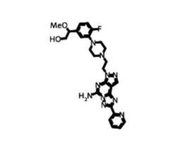 COC(CO)c1ccc(F)c(N2CCN(CCn3ncc4c3nc(N)n3nc(-c5ccccn5)nc43)CC2)c1